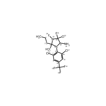 CCSC1(C)N(c2c(Cl)cc(C(F)(F)F)cc2Cl)C(N)C(F)(Cl)N1F